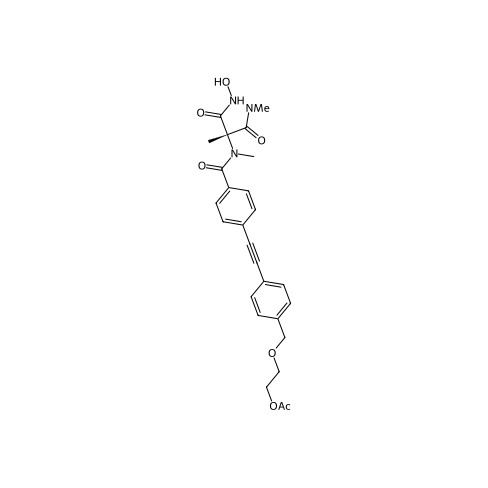 CNC(=O)[C@@](C)(C(=O)NO)N(C)C(=O)c1ccc(C#Cc2ccc(COCCOC(C)=O)cc2)cc1